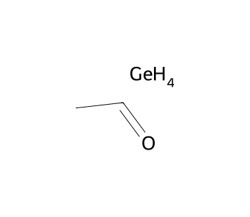 CC=O.[GeH4]